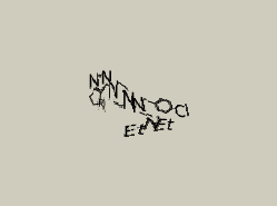 CCN(CC)CCN(Cc1ccc(Cl)cc1)N1CCN(c2ncnc3c2[C@H](C)CC3)CC1